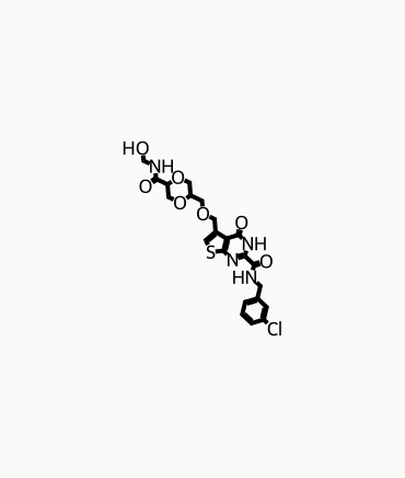 O=C(NCc1cccc(Cl)c1)c1nc2scc(COCC3COC(C(=O)NCO)CO3)c2c(=O)[nH]1